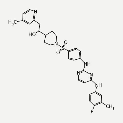 Cc1ccnc(CC(O)C2CCN(S(=O)(=O)c3ccc(Nc4nccc(Nc5ccc(F)c(C)c5)n4)cc3)CC2)c1